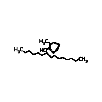 CCCCCCCCCCCCCCC.Cc1ccccc1O